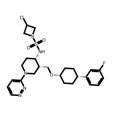 O=S(=O)(N[C@H]1CCN(c2cccnn2)C[C@H]1CO[C@H]1CC[C@@H](c2cccc(F)c2)CC1)N1CC(Cl)C1